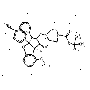 COc1cncc2c1[C@]1(O)[C@H](O)C(CN3CCN(C(=O)OC(C)(C)C)CC3)C(c3ccccc3)C1(c1ccc(C#N)cc1)O2